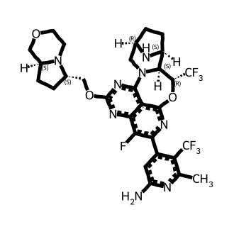 Cc1nc(N)cc(-c2nc3c4c(nc(OC[C@@H]5CC[C@H]6COCCN65)nc4c2F)N2C[C@H]4CC[C@H](N4)[C@H]2[C@H](C(F)(F)F)O3)c1C(F)(F)F